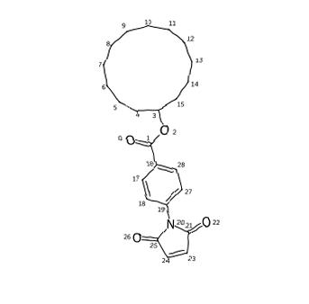 O=C(OC1CCCCCCCCCCCC1)c1ccc(N2C(=O)C=CC2=O)cc1